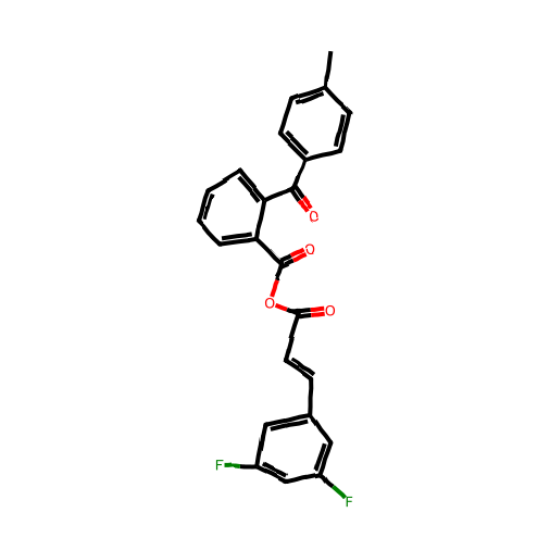 Cc1ccc(C(=O)c2ccccc2C(=O)OC(=O)/C=C/c2cc(F)cc(F)c2)cc1